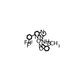 COc1cccc2onc(NC(=O)N3c4nc(-c5cccc(C(F)(F)F)c5)ccc4N4CCC3C4)c12